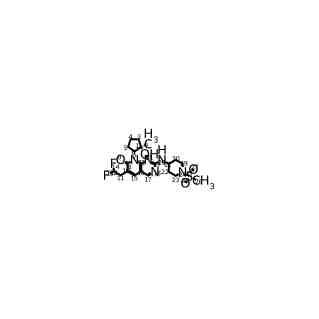 C[C@@]1(O)CCC[C@H]1n1c(=O)c(CC(F)F)cc2cnc(NC3CCN(S(C)(=O)=O)CC3)nc21